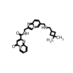 CC1(C)CC(CNCc2ccc3nc(CNC(=O)c4cc(=O)n5ccccc5n4)cn3c2)C1